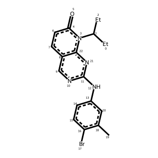 CCC(CC)n1c(=O)ccc2cnc(Nc3ccc(Br)c(C)c3)nc21